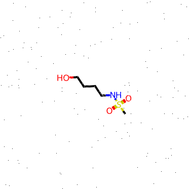 CS(=O)(=O)NCCCCO